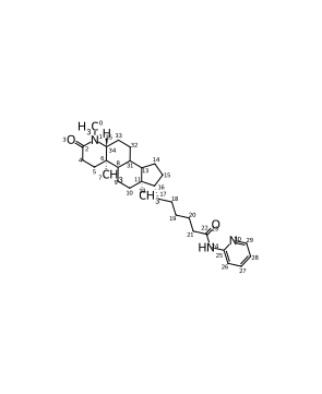 CN1C(=O)CC[C@]2(C)C3CC[C@@]4(C)C(CC[C@@H]4CCCCCC(=O)Nc4ccccn4)C3CC[C@@H]12